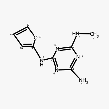 CNc1nc(N)nc(Nc2ccco2)n1